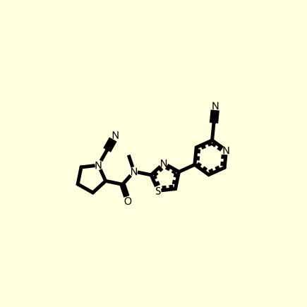 CN(C(=O)C1CCCN1C#N)c1nc(-c2ccnc(C#N)c2)cs1